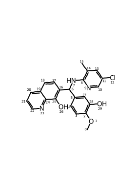 COc1ccc(C(Nc2ncc(Cl)cc2C)c2ccc3cccnc3c2O)cc1O